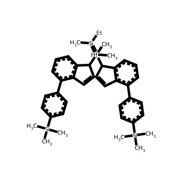 CC[Si](C)=[Hf]([CH3])([CH3])([CH]1C=Cc2c(-c3ccc([Si](C)(C)C)cc3)cccc21)[CH]1C=Cc2c(-c3ccc([Si](C)(C)C)cc3)cccc21